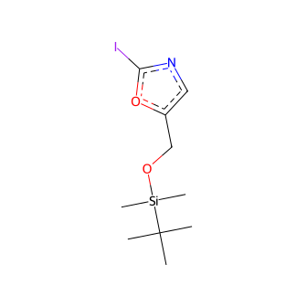 CC(C)(C)[Si](C)(C)OCc1cnc(I)o1